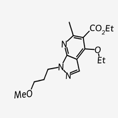 CCOC(=O)c1c(C)nc2c(cnn2CCCOC)c1OCC